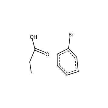 Brc1ccccc1.CCC(=O)O